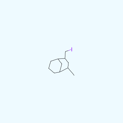 CC1CC(CI)C2CCCC1C2